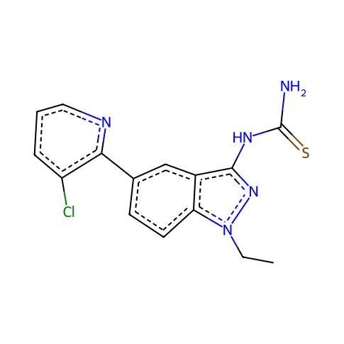 CCn1nc(NC(N)=S)c2cc(-c3ncccc3Cl)ccc21